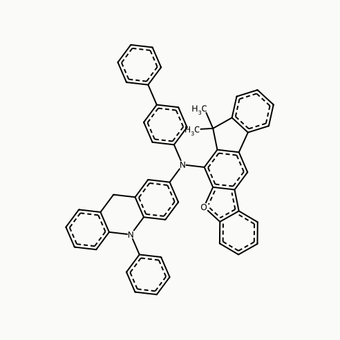 CC1(C)c2ccccc2-c2cc3c(oc4ccccc43)c(N(c3ccc(-c4ccccc4)cc3)c3ccc4c(c3)Cc3ccccc3N4c3ccccc3)c21